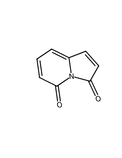 O=C1C=Cc2cccc(=O)n21